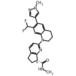 CNC(=O)[C@@H]1CCc2ccc(N3CCCc4cc(-c5cnn(C)c5)c(C(F)F)cc43)nc21